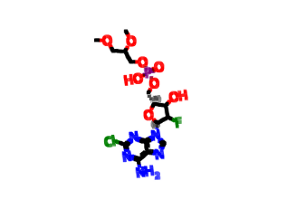 COCC(COP(=O)(O)OC[C@H]1O[C@@H](n2cnc3c(N)nc(Cl)nc32)C(F)C1O)OC